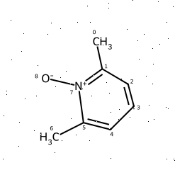 Cc1c[c]cc(C)[n+]1[O-]